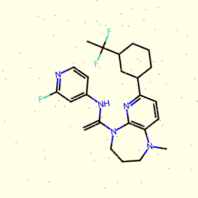 C=C(Nc1ccnc(F)c1)N1CCCN(C)c2ccc(C3CCCC(C(C)(F)F)C3)nc21